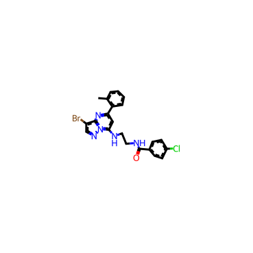 Cc1ccccc1-c1cc(NCCNC(=O)c2ccc(Cl)cc2)n2ncc(Br)c2n1